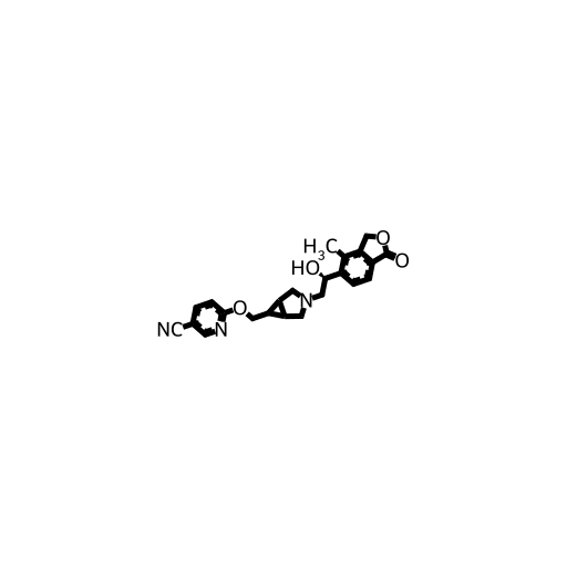 Cc1c([C@H](O)CN2CC3C(COc4ccc(C#N)cn4)C3C2)ccc2c1COC2=O